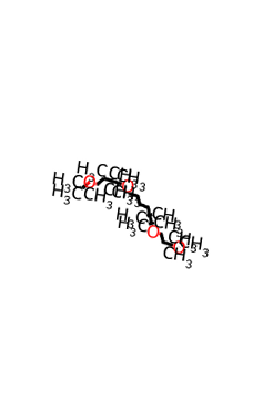 COC(C)(C)CCOC(C)(C)C(C)(C)CCCCOC(C)(C)C(C)(C)C(C)COC(C)(C)C